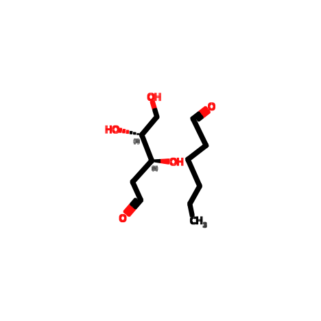 CCCCCC=O.O=CC[C@H](O)[C@H](O)CO